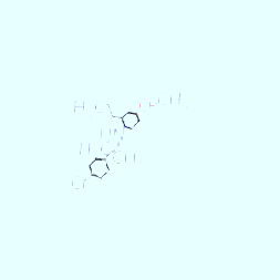 CCCc1cc(OCC)ccc1NCC(C)(C)c1ccc(Cl)cc1